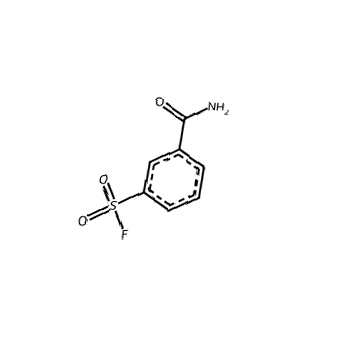 NC(=O)c1cccc(S(=O)(=O)F)c1